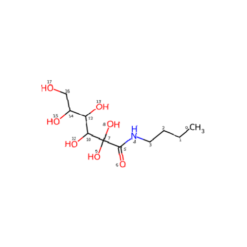 CCCCNC(=O)C(O)(O)C(O)C(O)C(O)CO